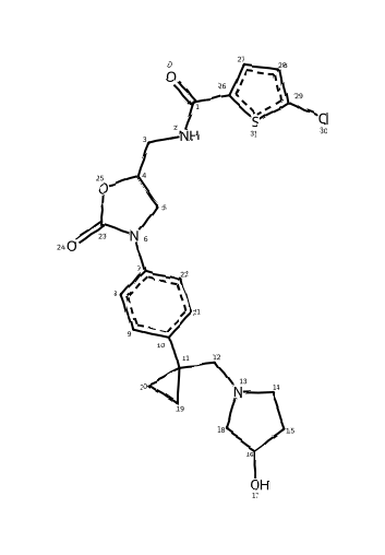 O=C(NCC1CN(c2ccc(C3(CN4CCC(O)C4)CC3)cc2)C(=O)O1)c1ccc(Cl)s1